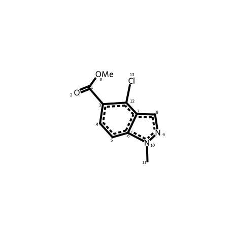 COC(=O)c1ccc2c(cnn2C)c1Cl